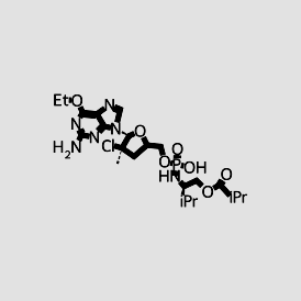 CCOc1nc(N)nc2c1ncn2[C@@H]1OC(COP(=O)(O)N[C@@H](COC(=O)C(C)C)C(C)C)C[C@@]1(C)Cl